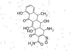 CC1c2cccc(O)c2C(=O)C2=C(O)C3(O)C(=O)C(C(N)=O)=C(N=O)C(N)C3C(O)C21